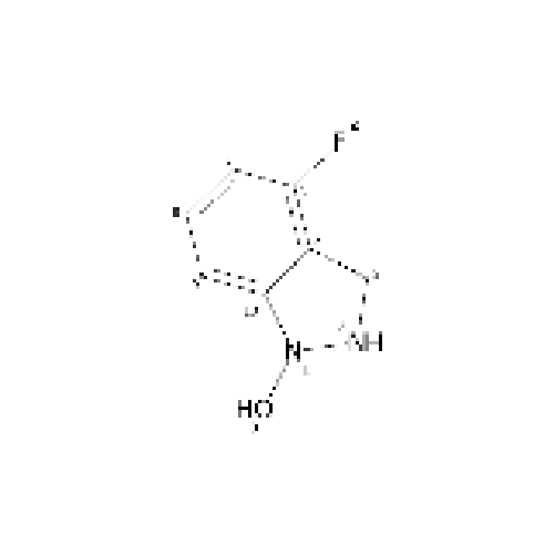 ON1NCc2c(F)cccc21